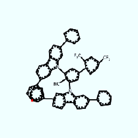 N#Cc1c(-n2c3cc(-c4ccccc4)ccc3c3ccc(-c4ccccc4)cc32)cc(-c2ccc(C(F)(F)F)cc2C(F)(F)F)cc1-n1c2cc(-c3ccccc3)ccc2c2ccc(-c3ccccc3)cc21